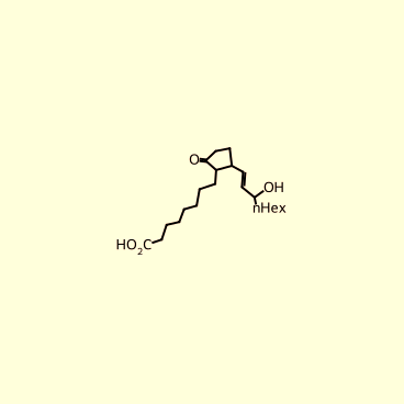 CCCCCCC(O)C=CC1CCC(=O)C1CCCCCCCC(=O)O